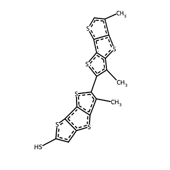 Cc1c(-c2sc3c(sc4c(C)csc43)c2C)sc2c1sc1cc(S)sc12